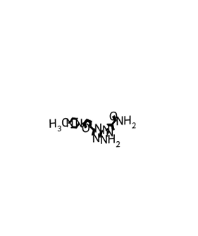 CN1CCN(c2ccc(-c3cnc(N)c(-n4cc(C(N)=O)cn4)n3)o2)CC1